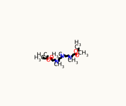 CCC(C)OC(=O)CCN(C)CCCN(C)CCCN(C)CCC(=O)OC(CC)CC